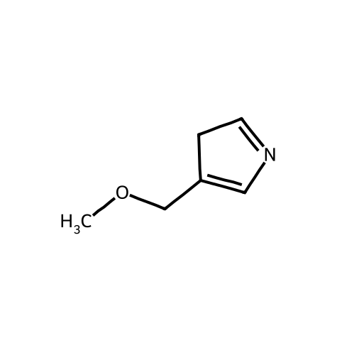 COCC1=CN=CC1